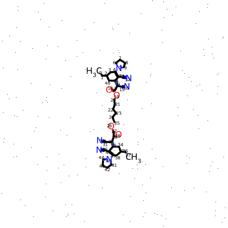 CCC1CC(N2CCCC2)=C(C#N)/C(=C(\C#N)C(=O)OCCCCCCOC2OC2/C(C#N)=C2\CC(CC)CC(N3CCCC3)=C2C#N)C1